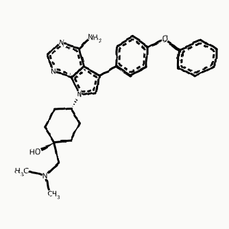 CN(C)C[C@]1(O)CC[C@H](n2cc(-c3ccc(Oc4ccccc4)cc3)c3c(N)ncnc32)CC1